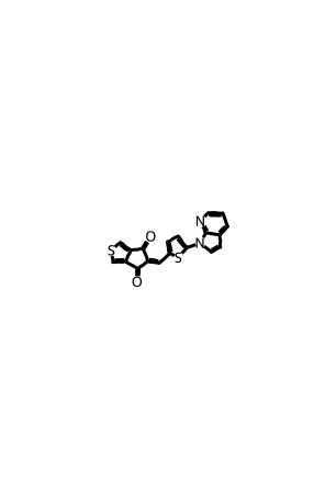 O=C1C(=Cc2ccc(-n3ccc4cccnc43)s2)C(=O)c2cscc21